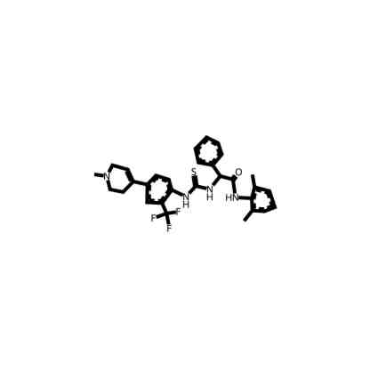 Cc1cccc(C)c1NC(=O)C(NC(=S)Nc1ccc(C2=CCN(C)CC2)cc1C(F)(F)F)c1ccccc1